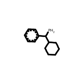 PC(c1ccccc1)C1CCCCC1